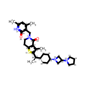 Cc1cc(C)c(CN2CCc3sc([C@H](C)[C@H]4CC[C@H](N5CC(N6CCCC6)C5)CC4)c(C)c3C2=O)c(=O)[nH]1